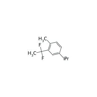 Cc1ccc(C(C)C)cc1C(C)(F)F